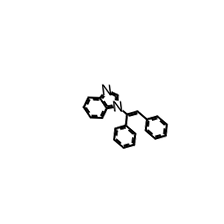 C(=C(c1ccccc1)n1cnc2ccccc21)c1ccccc1